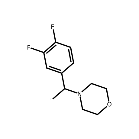 [CH2]C(c1ccc(F)c(F)c1)N1CCOCC1